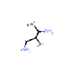 CCCC(N)C(CC)CN